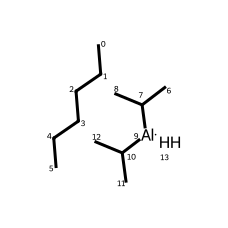 CCCCCC.C[CH](C)[Al][CH](C)C.[HH]